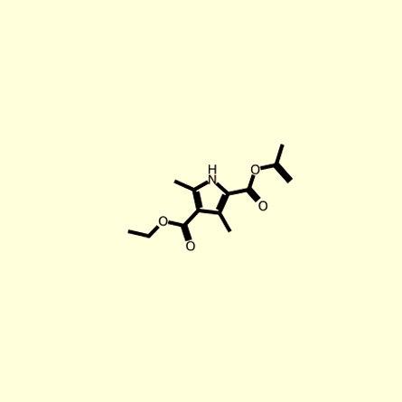 C=C(C)OC(=O)c1[nH]c(C)c(C(=O)OCC)c1C